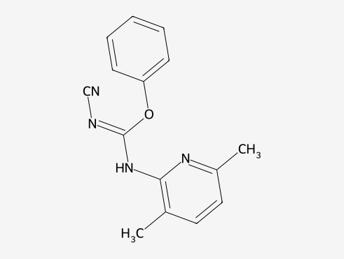 Cc1ccc(C)c(NC(=NC#N)Oc2ccccc2)n1